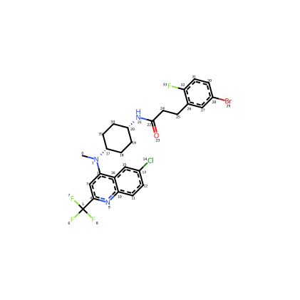 CN(c1cc(C(F)(F)F)nc2ccc(Cl)cc12)[C@H]1CC[C@@H](NC(=O)CCc2cc(Br)ccc2F)CC1